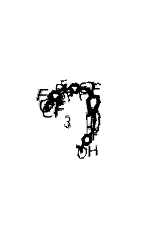 CC(O)C1CCC(C(F)(F)OC2CCC(C(F)(F)Oc3ccc(C(F)(F)Oc4cc(F)c(OC(F)(F)F)c(F)c4)c(F)c3)CC2)CC1